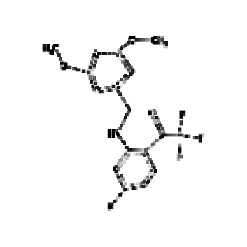 COc1cc(CNc2cc(F)ccc2C(=O)C(F)(F)F)cc(OC)c1